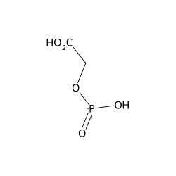 O=C(O)CO[P](=O)O